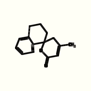 CC1=CC(=O)OC2(CCCc3ccccc32)C1